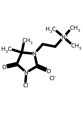 CC1(C)C(=O)N(Cl)C(=O)N1CC[N+](C)(C)C.[Cl-]